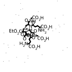 CCOC(=O)[C@]1(CSCC(NC(=O)CCC(N)C(=O)O)C(=O)NCC(=O)O)OC(=O)C(O)=C1SCC(NC(=O)CCC(N)C(=O)O)C(=O)NCC(=O)O